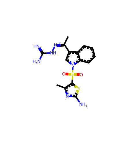 C/C(=N/NC(=N)N)c1cn(S(=O)(=O)c2sc(N)nc2C)c2ccccc12